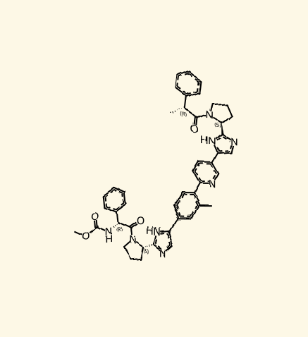 [CH2][C@@H](C(=O)N1CCC[C@H]1c1ncc(-c2ccc(-c3ccc(-c4cnc([C@@H]5CCCN5C(=O)[C@H](NC(=O)OC)c5ccccc5)[nH]4)cc3C)nc2)[nH]1)c1ccccc1